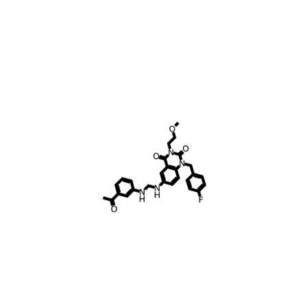 COCCn1c(=O)c2cc(NCNc3cccc(C(C)=O)c3)ccc2n(Cc2ccc(F)cc2)c1=O